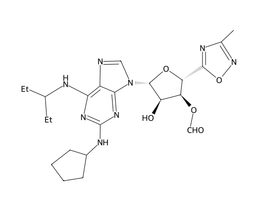 CCC(CC)Nc1nc(NC2CCCC2)nc2c1ncn2[C@@H]1O[C@H](c2nc(C)no2)[C@@H](OC=O)[C@H]1O